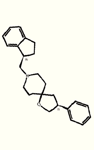 c1ccc([C@H]2COC3(CCN(C[C@@H]4CCc5ccccc54)CC3)C2)cc1